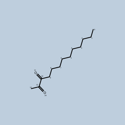 CCCCCCCCCCC(=O)C(C)=O